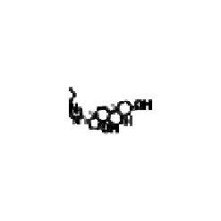 CCCn1cnc([C@H]2CC[C@]3(O)C4CC[C@@H]5C[C@@H](O)CC[C@]5(C)C4CC[C@]23C)c1